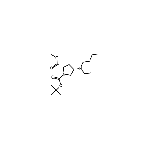 CCCCN(CC)[C@@H]1C[C@@H](C(=O)OC)N(C(=O)OC(C)(C)C)C1